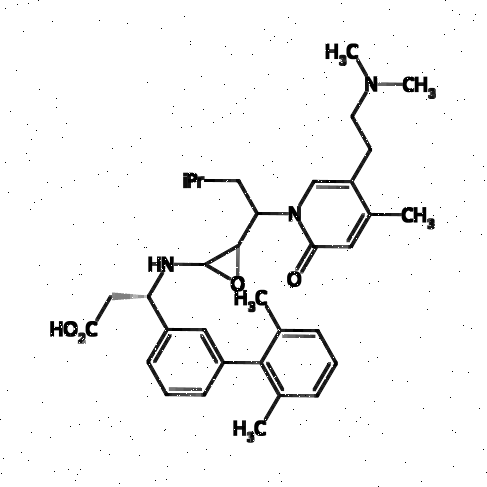 Cc1cc(=O)n(C(CC(C)C)C2OC2N[C@@H](CC(=O)O)c2cccc(-c3c(C)cccc3C)c2)cc1CCN(C)C